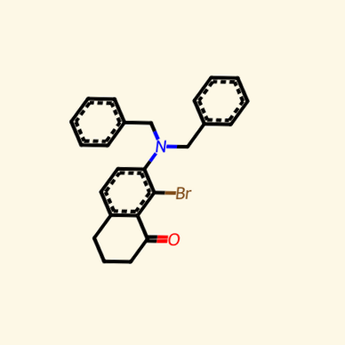 O=C1CCCc2ccc(N(Cc3ccccc3)Cc3ccccc3)c(Br)c21